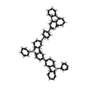 c1ccc(-n2c3ccccc3c3cc(-c4ccc5c(c4)c4cc(-c6ccc(-c7cc8c9c(cccc9n7)-c7ccccc7-8)cc6)ccc4n5-c4ccccc4)ccc32)cc1